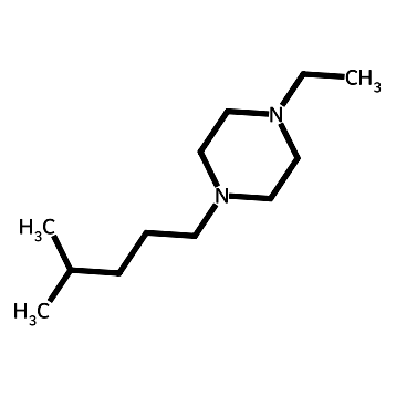 CCN1CCN(CCCC(C)C)CC1